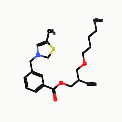 CCCCCCCCCCCCCCOCC(COC(=O)c1cccc(CN2C=C(C)SC2)c1)OC